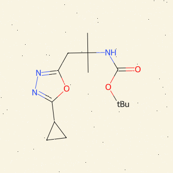 CC(C)(Cc1nnc(C2CC2)o1)NC(=O)OC(C)(C)C